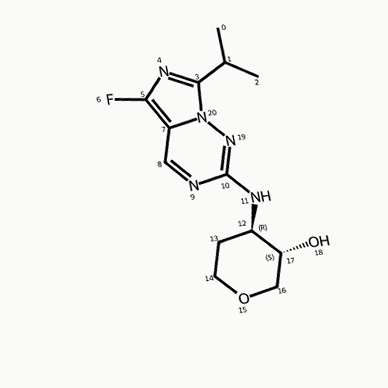 CC(C)c1nc(F)c2cnc(N[C@@H]3CCOC[C@H]3O)nn12